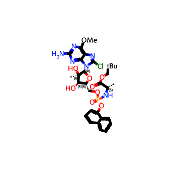 COc1nc(N)nc2c1nc(Cl)n2[C@@H]1O[C@H](COP(=O)(N[C@@H](C)C(=O)OCC(C)(C)C)Oc2cccc3ccccc23)[C@@H](O)[C@@]1(C)O